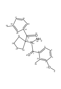 COc1cccc(C(=O)N(N)C2(C(=O)c3cccc(C)c3)CCCC2)c1C